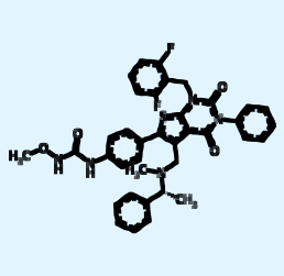 CONC(=O)Nc1ccc(-c2sc3c(c2CN(C)[C@H](C)c2ccccc2)c(=O)n(-c2ccccc2)c(=O)n3Cc2c(F)cccc2F)cc1